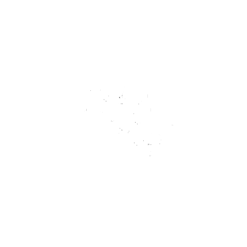 CC(C)(C)c1nc(N[C@@H]2C[C@H]3CC[C@@H]2C3)ncc1C(=O)N1CCOCC1